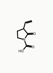 C=CC1CCN(C(=O)O)C1=O